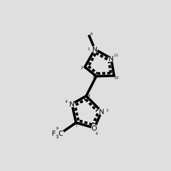 Cn1cc(-c2noc(C(F)(F)F)n2)cn1